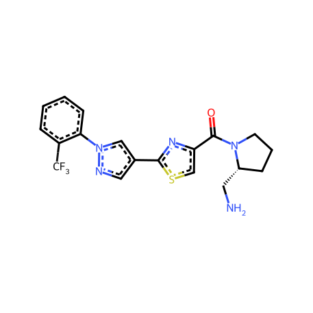 NC[C@H]1CCCN1C(=O)c1csc(-c2cnn(-c3ccccc3C(F)(F)F)c2)n1